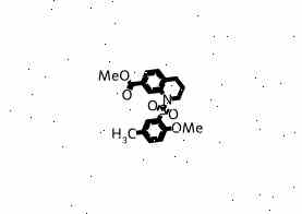 COC(=O)c1ccc2c(c1)N(S(=O)(=O)c1cc(C)ccc1OC)CCC2